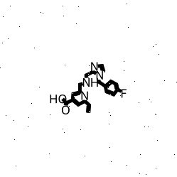 C=Cc1cc(C(=O)O)cc(CNCc2nccn2Cc2ccc(F)cc2)n1